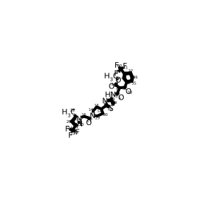 COC(=O)C(C(=O)Nc1csc(C2CCN(C(=O)Cn3nc(C(F)(F)F)cc3C)CC2)n1)C(=O)c1cccc(C(F)(F)F)c1